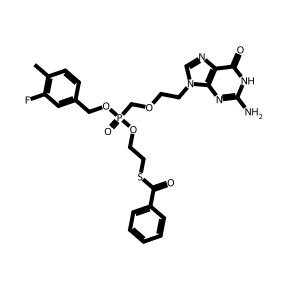 Cc1ccc(COP(=O)(COCCn2cnc3c(=O)[nH]c(N)nc32)OCCSC(=O)c2ccccc2)cc1F